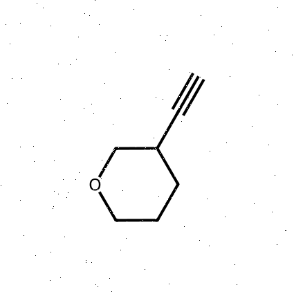 C#CC1CCCOC1